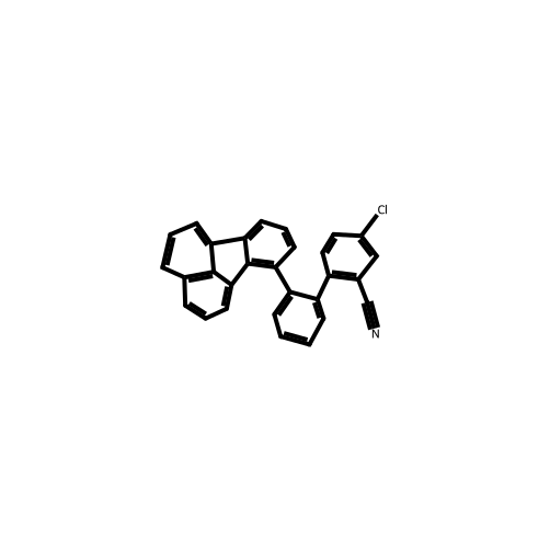 N#Cc1cc(Cl)ccc1-c1ccccc1-c1cccc2c1-c1cccc3cccc-2c13